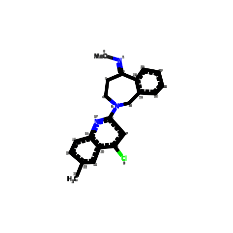 CO/N=C1\CCN(c2cc(Cl)c3cc(C)ccc3n2)Cc2ccccc21